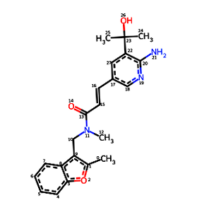 Cc1oc2ccccc2c1CN(C)C(=O)C=Cc1cnc(N)c(C(C)(C)O)c1